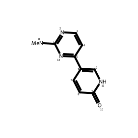 CNc1nccc(-c2ccc(=O)[nH]c2)n1